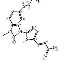 Cn1c(=O)n(-c2ncc(/C=C/C(=O)O)s2)c2cc(SNC3(C)CC3)ccc21